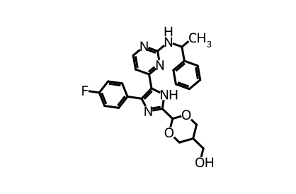 CC(Nc1nccc(-c2[nH]c(C3OCC(CO)CO3)nc2-c2ccc(F)cc2)n1)c1ccccc1